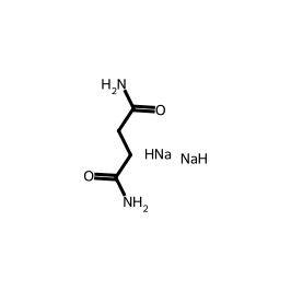 NC(=O)CCC(N)=O.[NaH].[NaH]